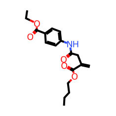 C=C(CC(=O)Nc1ccc(C(=O)OCC)cc1)C(=O)OCCCC